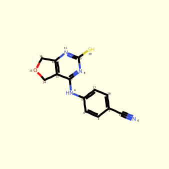 N#Cc1ccc(Nc2nc(S)nc3c2COC3)cc1